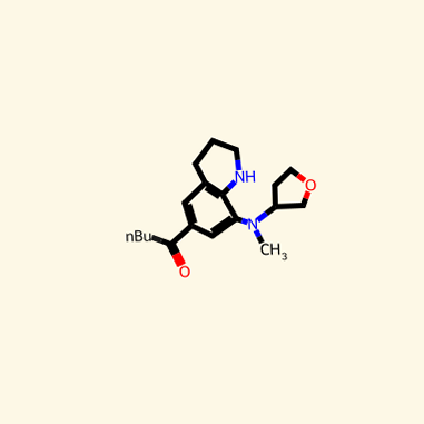 CCCCC(=O)c1cc2c(c(N(C)C3CCOC3)c1)NCCC2